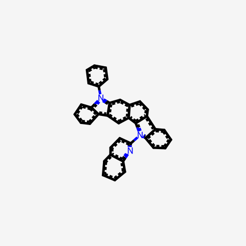 c1ccc(-n2c3ccccc3c3cc4c(ccc5c6ccccc6n(-c6ccc7ccccc7n6)c45)cc32)cc1